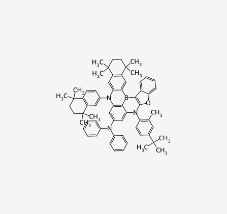 Cc1cc(C(C)(C)C)ccc1N1c2cc(N(c3ccccc3)c3ccccc3)cc3c2B(c2cc4c(cc2N3c2ccc3c(c2)C(C)(C)CCC3(C)C)C(C)(C)CCC4(C)C)c2c1oc1ccccc21